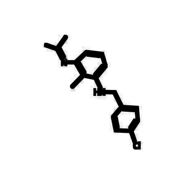 CC(C)=Nc1cccc(NCc2ccc(Cl)cc2)c1C